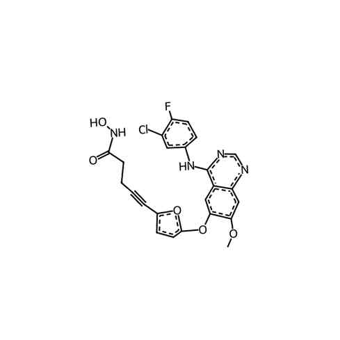 COc1cc2ncnc(Nc3ccc(F)c(Cl)c3)c2cc1Oc1ccc(C#CCCC(=O)NO)o1